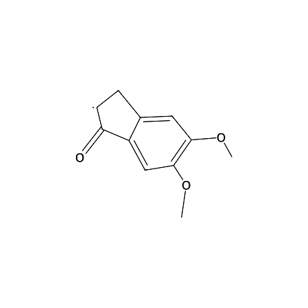 COc1cc2c(cc1OC)C(=O)[CH]C2